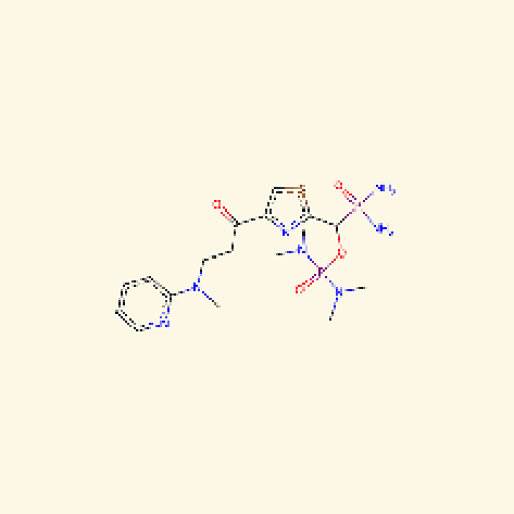 CN(CCC(=O)c1csc(C(OP(=O)(N(C)C)N(C)C)P(N)(N)=O)n1)c1ccccn1